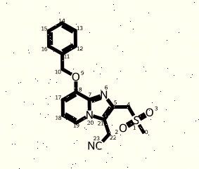 CS(=O)(=O)Cc1nc2c(OCc3ccccc3)cccn2c1CC#N